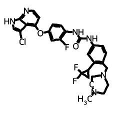 CN1CCN(Cc2ccc(NC(=O)Nc3ccc(Oc4ccnc5[nH]cc(Cl)c45)cc3F)cc2C2CC2(F)F)CC1